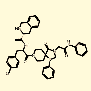 C=C(N[C@H](Cc1ccc(Cl)cc1)C(=O)N1CCC2(CC1)C(=O)N(CC(=O)Nc1ccccc1)CN2c1ccccc1)[C@H]1Cc2ccccc2CN1